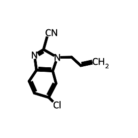 C=CCn1c(C#N)nc2ccc(Cl)cc21